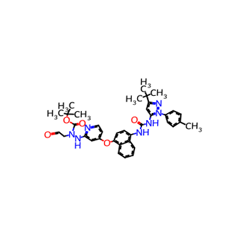 Cc1ccc(-n2nc(C(C)(C)C)cc2NC(=O)Nc2ccc(Oc3ccnc(NN(CC=O)C(=O)OC(C)(C)C)c3)c3ccccc23)cc1